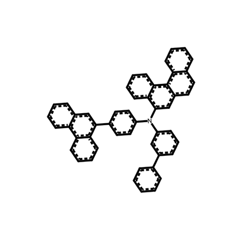 c1ccc(-c2cccc(N(c3ccc(-c4cc5ccccc5c5ccccc45)cc3)c3cc4ccc5ccccc5c4c4ccccc34)c2)cc1